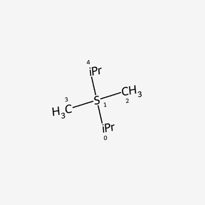 CC(C)S(C)(C)C(C)C